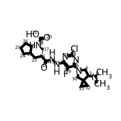 CN(C)C1CN(c2nc(Cl)nc(NNC(=O)[C@@H](CNC(=O)O)CC3CCCC3)c2F)CC12CC2